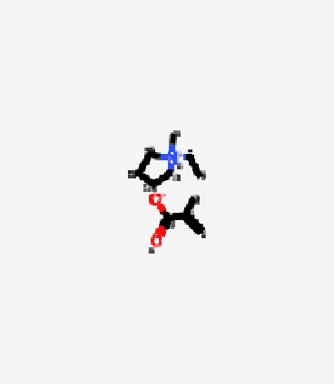 C=C(C)C(=O)[O-].CC[N+]1(C)CCCC1